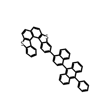 c1ccc(-c2c3ccccc3c(-c3ccc(-c4ccc5c(c4)sc4ccc6ccc7sc8ccccc8c7c6c45)c4ccccc34)c3ccccc23)cc1